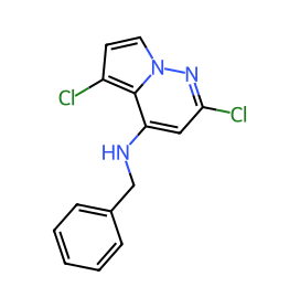 Clc1cc(NCc2ccccc2)c2c(Cl)ccn2n1